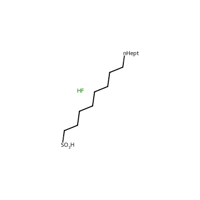 CCCCCCCCCCCCCCCS(=O)(=O)O.F